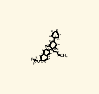 C=CCCC1(c2ccc3cc(OC(F)(F)F)ccc3c2)C(F)=CC(c2ccccc2)C=C1F